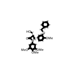 COc1ccc([C@H]2[C@@H](CO)C(=O)N2c2cc(OC)c(OC)c(OC)c2)cc1OCc1ccccc1